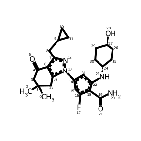 CC1(C)CC(=O)c2c(CC3CC3)nn(-c3cc(F)c(C(N)=O)c(N[C@H]4CC[C@H](O)CC4)c3)c2C1